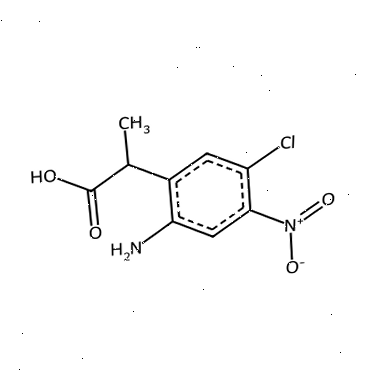 CC(C(=O)O)c1cc(Cl)c([N+](=O)[O-])cc1N